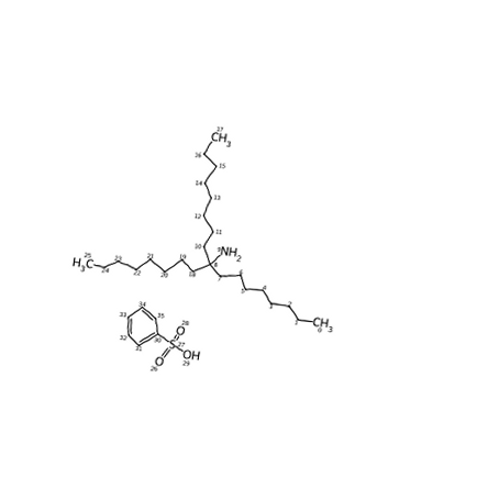 CCCCCCCCC(N)(CCCCCCCC)CCCCCCCC.O=S(=O)(O)c1ccccc1